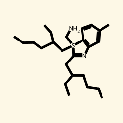 CCCCC(CC)CC1=Nc2cc(C)ccc2S1(CN)CC(CC)CCCC